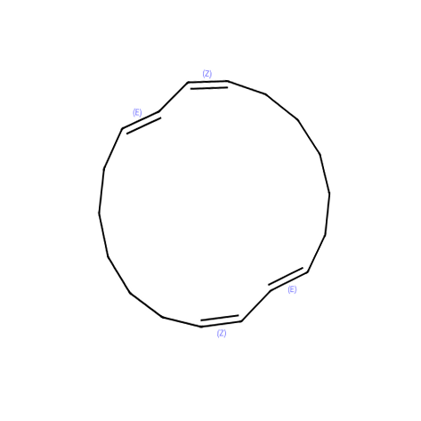 C1=C\CCCCC/C=C/C=C\CCCCC/C=C/1